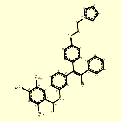 CC/C(=C(/c1ccc(OCCn2cccc2)cc1)c1cccc(OC(C)c2cc(OC)c(OC)cc2[N+](=O)[O-])c1)c1ccccc1